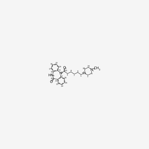 CN1CCN(CCCCCC(=O)N2c3ccccc3NC(=O)c3ccccc32)CC1